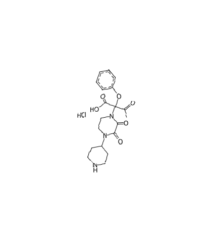 CC(=O)C(Oc1ccccc1)(C(=O)O)N1CCN(C2CCNCC2)C(=O)C1=O.Cl